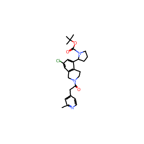 Cc1cc(CC(=O)N2CCc3c(cc(Cl)cc3C3CCCN3C(=O)OC(C)(C)C)C2)ccn1